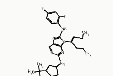 CCCC(CCC)n1c(Nc2ccc(F)cc2F)nc2cnc(NC3CC[C@@H](C(C)(C)C)C3)nc21